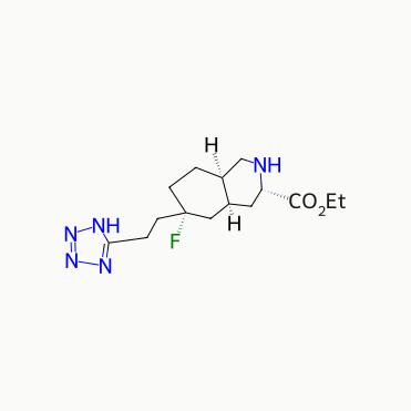 CCOC(=O)[C@@H]1C[C@H]2C[C@@](F)(CCc3nnn[nH]3)CC[C@H]2CN1